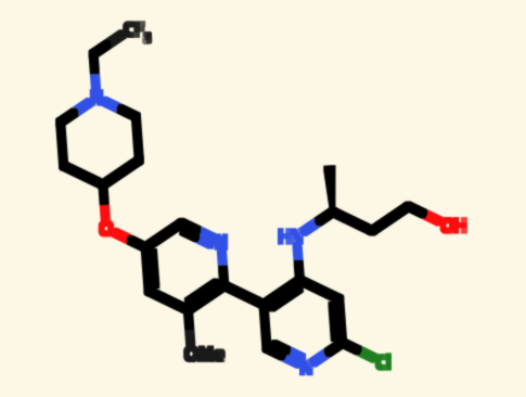 COc1cc(OC2CCN(CC(F)(F)F)CC2)cnc1-c1cnc(Cl)cc1N[C@@H](C)CCO